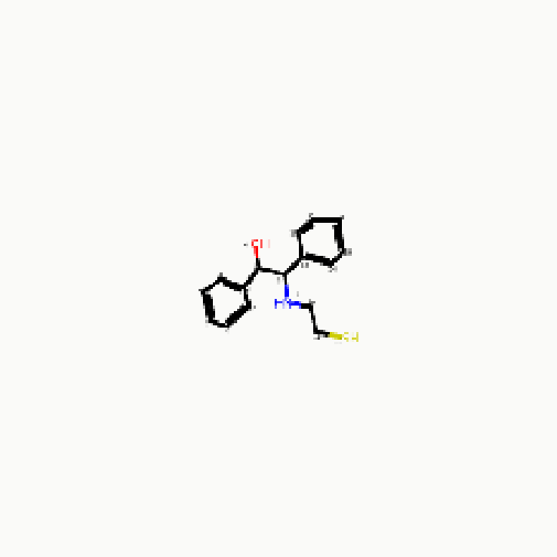 OC(c1ccccc1)C(NCCS)c1ccccc1